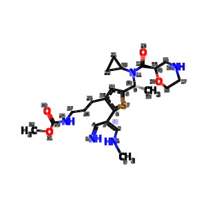 CN/C=C(\C=N)c1sc([C@@H](C)N(C(=O)[C@H]2CNCCO2)C2CC2)cc1CCCNC(=O)OC